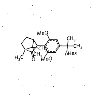 CCCCCCC(C)(C)c1cc(OC)c(C2C(=O)C3(C)CCC2C3(C)C)c(OC)c1